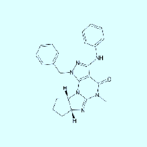 CN1C(=O)c2c(Nc3ccccc3)nn(Cc3ccccc3)c2N2C1=N[C@@H]1CCC[C@@H]12